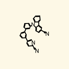 N#Cc1ccc2c(c1)c1ccccc1n2-c1cccc(-c2cccc(-c3ccc(C#N)nc3)c2)c1